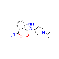 CC(C)N1CCC(n2[nH]c3cccc(C(N)=O)c3c2=O)CC1